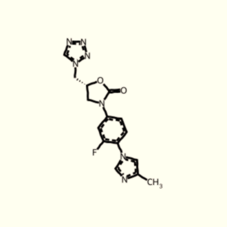 Cc1cn(-c2ccc(N3C[C@H](Cn4cnnn4)OC3=O)cc2F)cn1